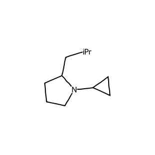 CC(C)CC1CCCN1C1CC1